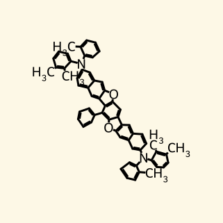 Cc1ccccc1N(c1ccc2cc3c(cc2c1)oc1c(-c2ccccc2)c2c(cc13)oc1cc3cc(N(c4ccccc4C)c4cccc(C)c4C)ccc3cc12)c1cccc(C)c1C